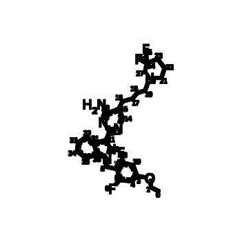 CCOc1cc(F)c(Cn2nc(-c3ncc(CCCCN4CCCC(F)(F)C4)c(N)n3)c3ccccc32)c(F)c1